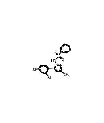 O=S(=O)(Nn1nc(C(F)(F)F)cc1-c1ccc(Cl)cc1Cl)c1ccccc1